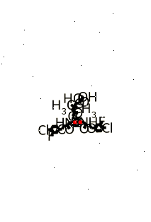 CC(C)(COP(=O)(O)O)CC(=O)OC1CC2(NC(=O)COc3ccc(Cl)c(F)c3)CCC1(NC(=O)COc1ccc(Cl)c(F)c1)CC2